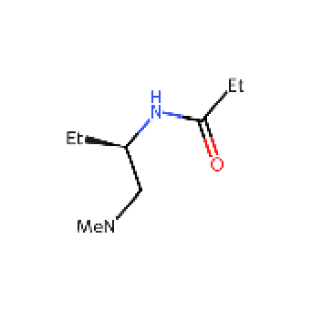 CCC(=O)N[C@H](CC)CNC